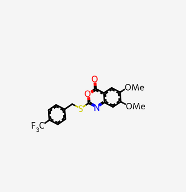 COc1cc2nc(SCc3ccc(C(F)(F)F)cc3)oc(=O)c2cc1OC